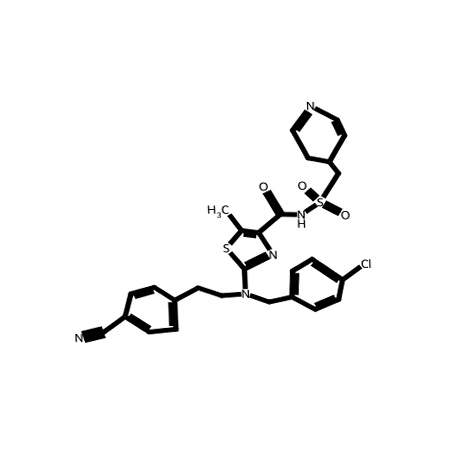 Cc1sc(N(CCc2ccc(C#N)cc2)Cc2ccc(Cl)cc2)nc1C(=O)NS(=O)(=O)CC1C=CN=CC1